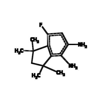 CC1(C)CC(C)(C)c2c(N)c(N)cc(F)c21